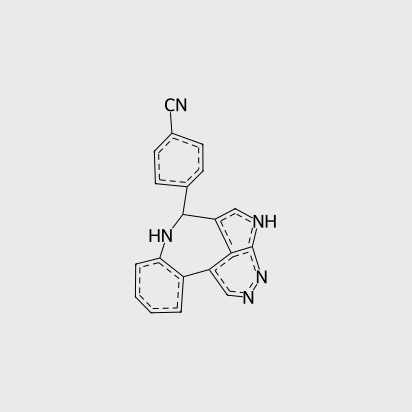 N#Cc1ccc(C2Nc3ccccc3-c3cnnc4[nH]cc2c34)cc1